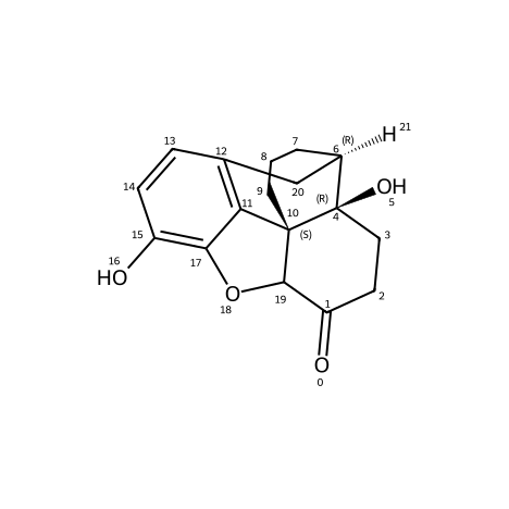 O=C1CC[C@@]2(O)[C@@H]3CCC[C@@]24c2c(ccc(O)c2OC14)C3